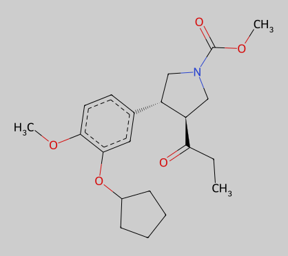 CCC(=O)[C@@H]1CN(C(=O)OC)C[C@H]1c1ccc(OC)c(OC2CCCC2)c1